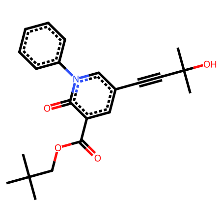 CC(C)(O)C#Cc1cc(C(=O)OCC(C)(C)C)c(=O)n(-c2ccccc2)c1